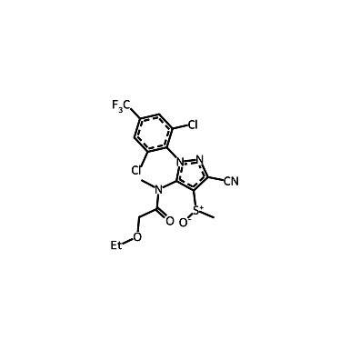 CCOCC(=O)N(C)c1c([S+](C)[O-])c(C#N)nn1-c1c(Cl)cc(C(F)(F)F)cc1Cl